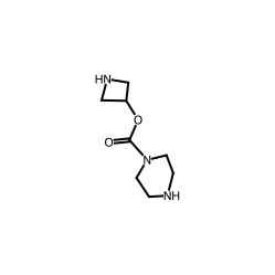 O=C(OC1CNC1)N1CCNCC1